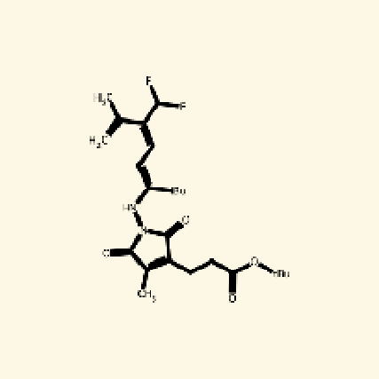 C=C(C)/C(=C\C=C(\NN1C(=O)C(C)=C(CCC(=O)OC(C)(C)C)C1=O)C(C)CC)C(F)F